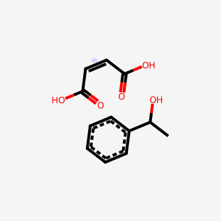 CC(O)c1ccccc1.O=C(O)/C=C\C(=O)O